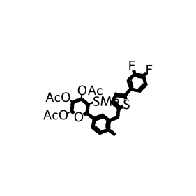 CS[C@H]1C(c2ccc(C)c(Cc3ccc(-c4ccc(F)c(F)c4)s3)c2)O[C@H](OC(C)=O)[C@@H](OC(C)=O)[C@@H]1OC(C)=O